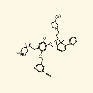 CC(CO)(CO)NCc1cc(Cl)c(OC[C@@]2(OCCCN3CCC(O)C3)C=CC=C(c3ccccc3)C2(C)C)cc1OCc1cncc(C#N)c1